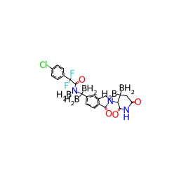 BN(C(=O)C(F)(F)c1ccc(Cl)cc1)C(B)(B)c1ccc2c(c1)CN(C1C(=O)NC(=O)CC1(B)B)C2=O